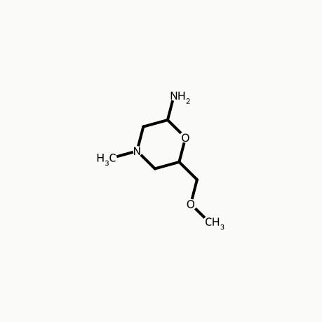 COCC1CN(C)CC(N)O1